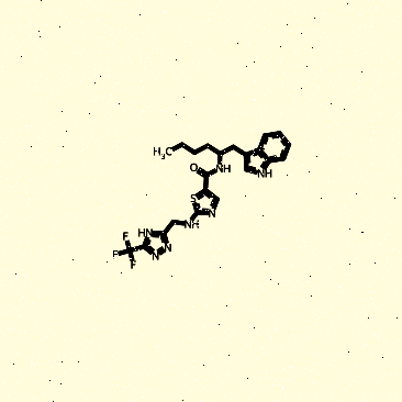 CCCCC(Cc1c[nH]c2ccccc12)NC(=O)c1cnc(NCc2nnc(C(F)(F)F)[nH]2)s1